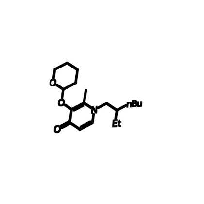 CCCCC(CC)Cn1ccc(=O)c(OC2CCCCO2)c1C